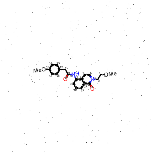 COCCn1ccc2c(NC(=O)Cc3ccc(OC)cc3)cccc2c1=O